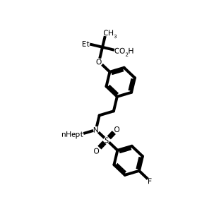 CCCCCCCN(CCc1cccc(OC(C)(CC)C(=O)O)c1)S(=O)(=O)c1ccc(F)cc1